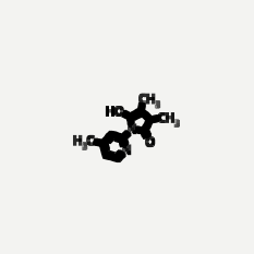 CC1=C(O)N(c2cc(C)ccn2)C(=O)C1C